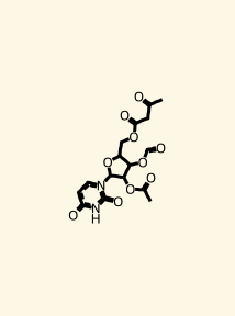 CC(=O)CC(=O)OCC1OC(n2ccc(=O)[nH]c2=O)C(OC(C)=O)C1OC=O